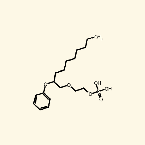 CCCCCCCCC(COCCOP(=O)(O)O)Oc1ccccc1